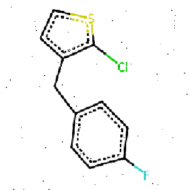 Fc1ccc(Cc2ccsc2Cl)cc1